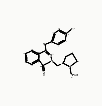 CCCCCN1CCC[C@@H]1Cn1nc(Cc2ccc(Cl)cc2)c2ccccc2c1=O